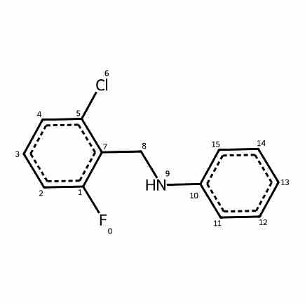 Fc1cccc(Cl)c1CNc1ccccc1